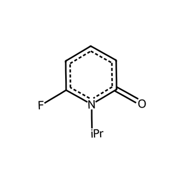 CC(C)n1c(F)cccc1=O